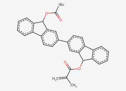 C=C(C)C(=O)OC1c2ccccc2-c2ccc(-c3ccc4c(c3)C(OC(=O)C(C)(C)C)c3ccccc3-4)cc21